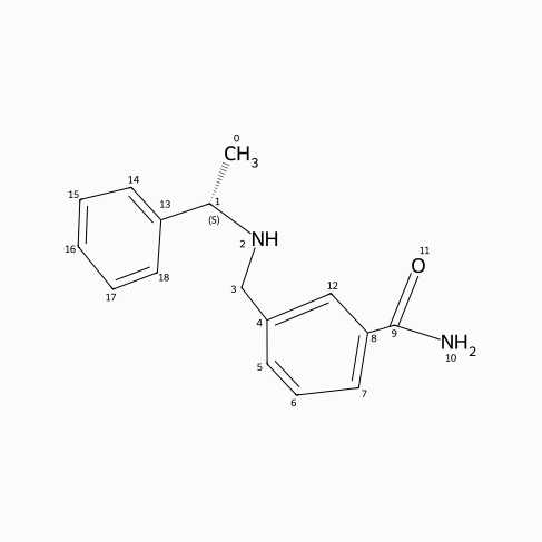 C[C@H](NCc1cccc(C(N)=O)c1)c1ccccc1